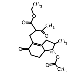 CCOC(=O)C(CC1=C2CC(C)[C@H](OC(C)=O)C2CCC1=O)C(C)=O